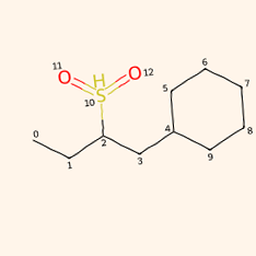 CCC(CC1CCCCC1)[SH](=O)=O